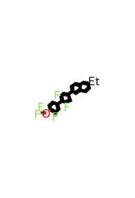 CCc1ccc2cc(-c3cc(F)c(-c4ccc(OC(F)F)c(F)c4)c(F)c3)ccc2c1